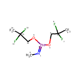 CN=[PH](OCC(F)(F)C(F)(F)F)OCC(F)(F)C(F)(F)F